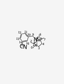 C[Si]1(C)CC[Si](C)(C)N1Cc1cccc(C#N)c1